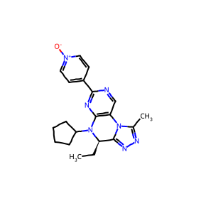 CC[C@@H]1c2nnc(C)n2-c2cnc(-c3cc[n+]([O-])cc3)nc2N1C1CCCC1